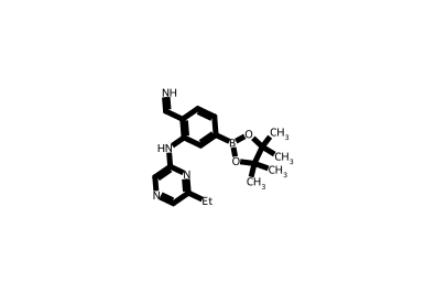 CCc1cncc(Nc2cc(B3OC(C)(C)C(C)(C)O3)ccc2C=N)n1